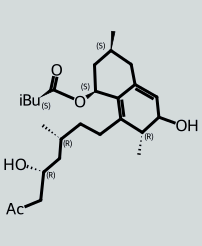 CC[C@H](C)C(=O)O[C@H]1C[C@@H](C)CC2=CC(O)[C@H](C)C(CC[C@@H](C)C[C@@H](O)CC(C)=O)=C21